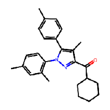 Cc1ccc(-c2c(C)c(C(=O)C3CCCCC3)nn2-c2ccc(C)cc2C)cc1